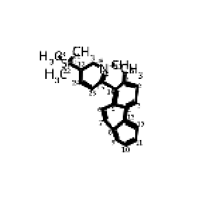 Cc1ccc2c(ccc3ccccc32)c1C1=[N+](C)CC([Si](C)(C)C)C=C1